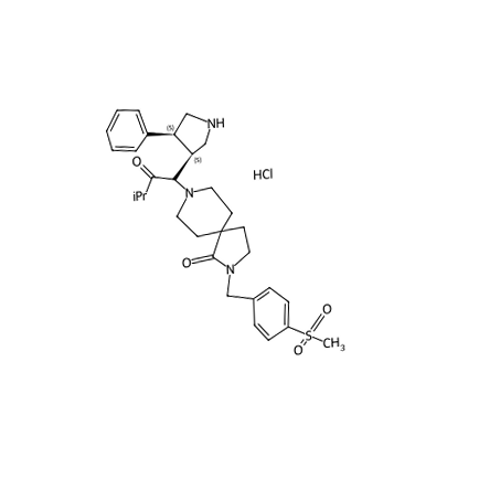 CC(C)C(=O)C([C@@H]1CNC[C@@H]1c1ccccc1)N1CCC2(CCN(Cc3ccc(S(C)(=O)=O)cc3)C2=O)CC1.Cl